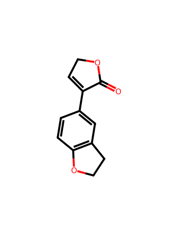 O=C1OCC=C1c1ccc2c(c1)CCO2